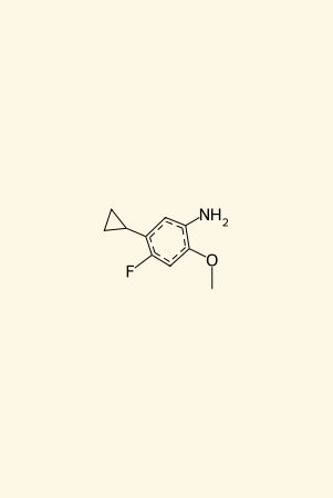 COc1cc(F)c(C2CC2)cc1N